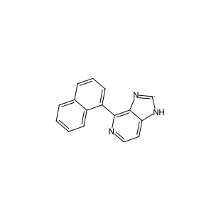 [c]1nc2c(-c3cccc4ccccc34)nccc2[nH]1